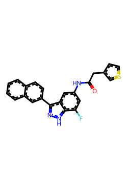 O=C(Cc1ccsc1)Nc1cc(F)c2[nH]nc(-c3ccc4ccccc4c3)c2c1